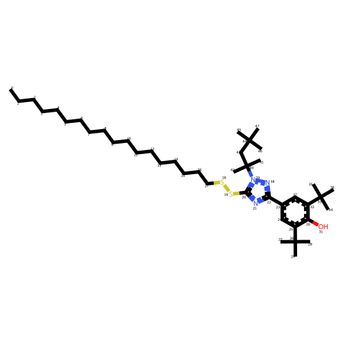 CCCCCCCCCCCCCCCCCCSSc1nc(-c2cc(C(C)(C)C)c(O)c(C(C)(C)C)c2)nn1C(C)(C)CC(C)(C)C